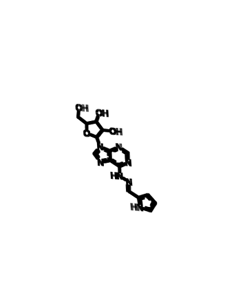 OCC1OC(n2cnc3c(N/N=C/c4ccc[nH]4)ncnc32)C(O)C1O